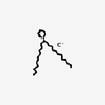 CCCCCCCCCCCCC(CCCCCCCCCCC)[n+]1ccccc1.[Cl-]